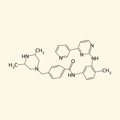 Cc1ccc(NC(=O)c2ccc(CN3CC(C)NC(C)C3)cc2)cc1Nc1nccc(-c2cccnc2)n1